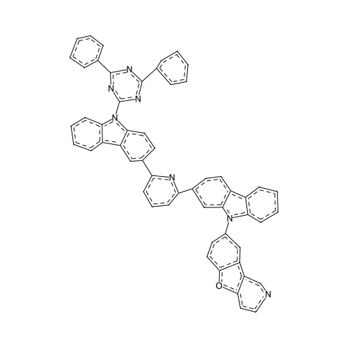 c1ccc(-c2nc(-c3ccccc3)nc(-n3c4ccccc4c4cc(-c5cccc(-c6ccc7c8ccccc8n(-c8ccc9oc%10ccncc%10c9c8)c7c6)n5)ccc43)n2)cc1